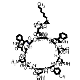 CCCCCCC[C@H]1C[C@@H]1C(=O)N[C@@H](CO)C(=O)N[C@@H]1C(=O)N[C@H](Cc2c[nH]c3ccccc23)C(=O)N[C@@H](CC(=O)O)C(=O)N[C@@H](CC(=O)O)C(=O)N[C@H](c2ccc(O)cc2)C(=O)N[C@@H](CC(=O)O)C(=O)NCC(=O)N[C@H]([C@H](O)C(N)=O)C(=O)N[C@H](CCC(=O)O)C(=O)N/C(=C\c2c[nH]c3ccccc23)C(=O)O[C@@H]1C